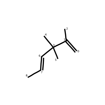 C=C(C)C(C)(C)C=CC